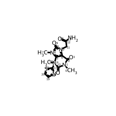 CN1C(=O)c2c(n(C)c(=O)n2CC(N)=O)[N+](C)(c2nccs2)C1=O